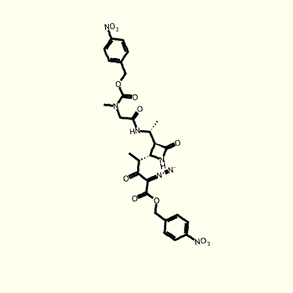 CC(C(=O)C(=[N+]=[N-])C(=O)OCc1ccc([N+](=O)[O-])cc1)[C@H]1NC(=O)[C@@H]1[C@@H](C)NC(=O)CN(C)C(=O)OCc1ccc([N+](=O)[O-])cc1